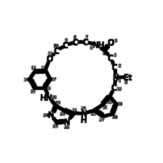 CCN1CCC(=O)NCCCCOc2cccc(c2)Nc2cc(ncn2)Nc2cccc(c2)C1